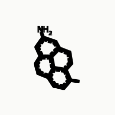 Cc1ccc2ccc3cc(N)cc4ccc1c2c34